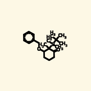 CC(C)(C)[Si](C)(C)C1(C)C(=O)CCCC1OCc1ccccc1